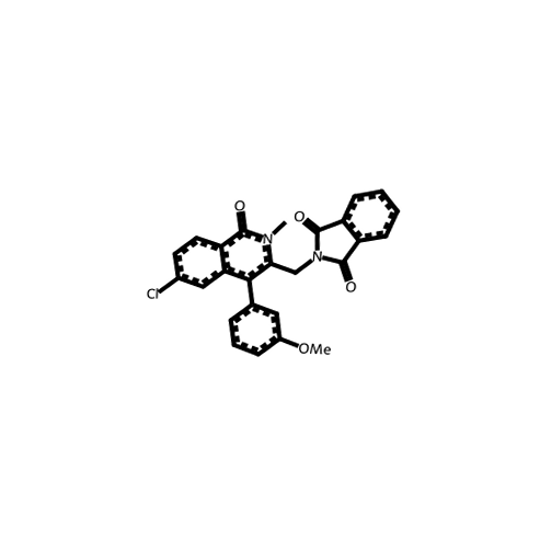 COc1cccc(-c2c(CN3C(=O)c4ccccc4C3=O)n(C)c(=O)c3ccc(Cl)cc23)c1